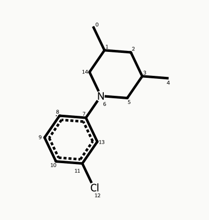 CC1CC(C)CN(c2[c]ccc(Cl)c2)C1